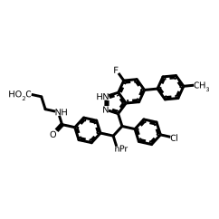 CCCC(c1ccc(C(=O)NCCC(=O)O)cc1)C(c1ccc(Cl)cc1)c1n[nH]c2c(F)cc(-c3ccc(C)cc3)cc12